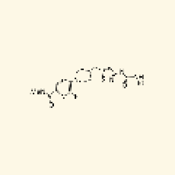 CCNC(=O)Nc1cc(CN2CCN(c3ccc(C(=O)NC)nc3F)CC2)sn1